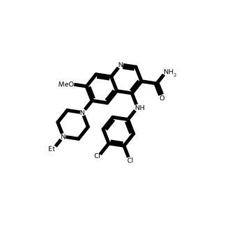 CCN1CCN(c2cc3c(Nc4ccc(Cl)c(Cl)c4)c(C(N)=O)cnc3cc2OC)CC1